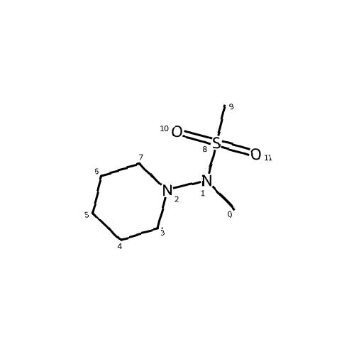 CN(N1[CH]CCCC1)S(C)(=O)=O